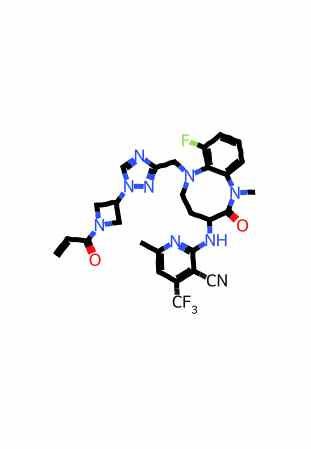 C=CC(=O)N1CC(n2cnc(CN3CCC(Nc4nc(C)cc(C(F)(F)F)c4C#N)C(=O)N(C)c4cccc(F)c43)n2)C1